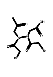 CC(=O)CN(C(=O)CBr)N(CC(=O)O)C(=O)CBr